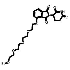 CCOCCOCCOCCOCCSc1cccc2c1C(=O)N(C1CCC(=O)NC1=O)C2=O